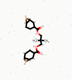 CC(C)(COC(=O)C1CCC2SC2C1)COC(=O)C1CCC2SC2C1